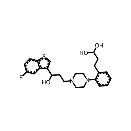 OC(O)CCc1ccccc1N1CCN(CCC(O)c2csc3ccc(F)cc23)CC1